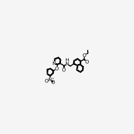 CCOC(=O)c1ccc(CNC(=O)c2cccnc2Oc2cccc([N+](=O)[O-])c2)c2ccccc12